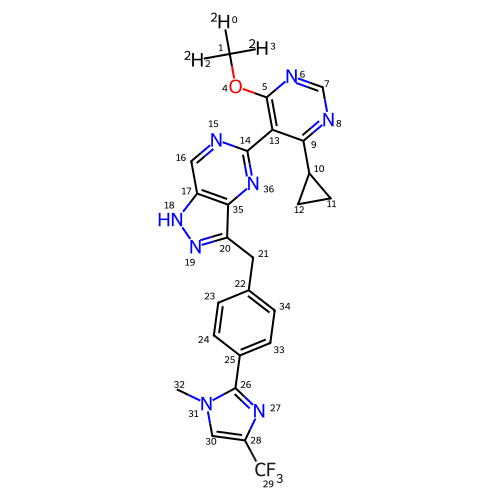 [2H]C([2H])([2H])Oc1ncnc(C2CC2)c1-c1ncc2[nH]nc(Cc3ccc(-c4nc(C(F)(F)F)cn4C)cc3)c2n1